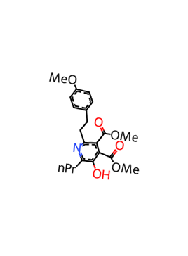 CCCc1nc(CCc2ccc(OC)cc2)c(C(=O)OC)c(C(=O)OC)c1O